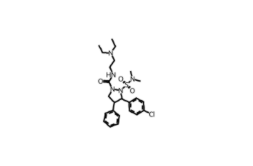 CCN(CC)CCNC(=O)N1CC(c2ccccc2)C(c2ccc(Cl)cc2)N1S(=O)(=O)N(C)C